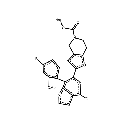 COc1cc(F)ccc1-c1c(-c2nc3c(o2)CCN(C(=O)OC(C)(C)C)C3)nc(Cl)c2ccsc12